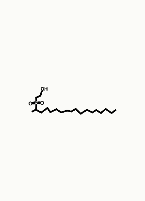 CCCCCCCCCCCCCCCCC(C)S(=O)(=O)CCO